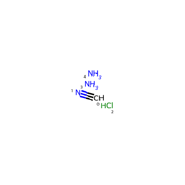 C#N.Cl.N.N